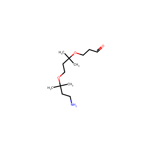 CC(C)(CCN)OCCC(C)(C)OCCC=O